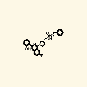 O=C(NC[C@@H]1CCN(c2nc(-c3ccccc3O)nc3ccc(F)cc23)C1)OCc1ccccc1